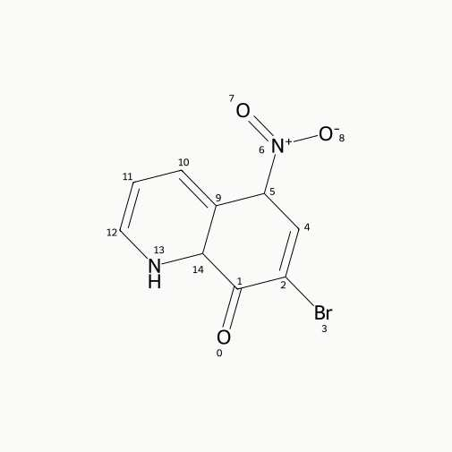 O=C1C(Br)=CC([N+](=O)[O-])C2=CC=CNC12